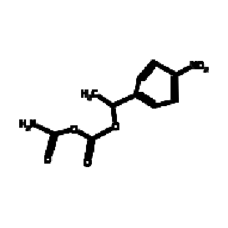 CC(OC(=O)OC(N)=O)c1ccc([N+](=O)[O-])cc1